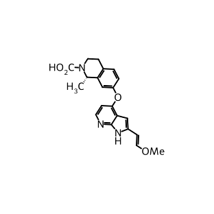 CO/C=C/c1cc2c(Oc3ccc4c(c3)[C@H](C)N(C(=O)O)CC4)ccnc2[nH]1